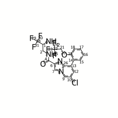 NC(CNC(=O)c1cn2cc(Cl)cc(-c3ccccc3OCC(F)(F)F)c2n1)C(F)(F)F